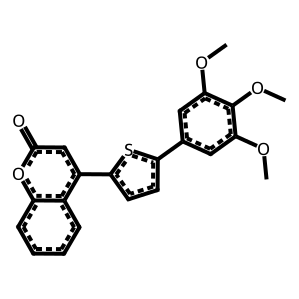 COc1cc(-c2ccc(-c3cc(=O)oc4ccccc34)s2)cc(OC)c1OC